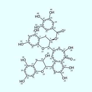 O=C(O[C@@H]1Cc2c(O)cc(O)cc2OC1c1cc(O)c(=O)c2c(O)c(O)cc(C3Oc4cc(O)cc(O)c4CC3O)c2c1)c1cc(O)c(O)c(O)c1